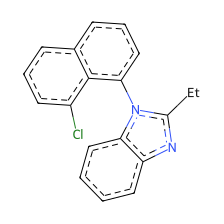 CCc1nc2ccccc2n1-c1cccc2cccc(Cl)c12